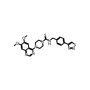 COc1cc2ncnc(N3CCN(C(=S)NCc4ccc(-c5csnn5)cc4)CC3)c2cc1OC